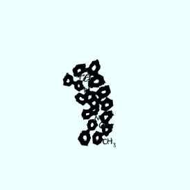 Cc1ccccc1-c1cccc2c1oc1c(N(c3ccc(-c4ccccc4)cc3)c3cc4c(c5ccccc35)-c3c(cc(N(c5ccc(-c6ccccc6)cc5)c5cccc6c5oc5c(-c7ccccc7C)cccc56)c5ccccc35)C4(c3ccccc3)c3ccccc3)cccc12